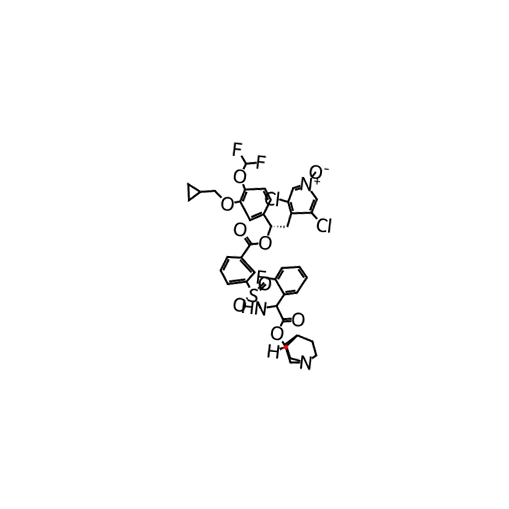 O=C(O[C@@H](Cc1c(Cl)c[n+]([O-])cc1Cl)c1ccc(OC(F)F)c(OCC2CC2)c1)c1cccc(S(=O)(=O)NC(C(=O)O[C@H]2CN3CCC2CC3)c2ccccc2F)c1